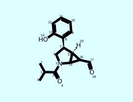 CC(C)C(=O)N1C[C@@H](c2ccccc2O)[C@H]2C(C=O)C21